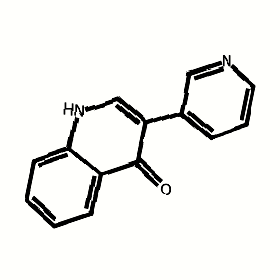 O=c1c(-c2cccnc2)c[nH]c2ccccc12